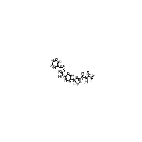 O=C(NC(F)C(F)F)C1CCCN(c2ccc(Nc3nc(-c4ccccn4)cs3)nc2)C1